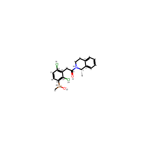 C[C@H]1c2ccccc2CCN1C(=O)Cc1c(Cl)ccc([S+](C)[O-])c1Cl